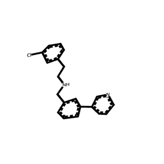 Clc1cccc(CCNCc2cccc(-c3cccnc3)c2)c1